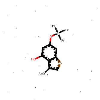 CC(=O)Oc1csc2cc(O[Si](C(C)C)(C(C)C)C(C)C)cc(O)c12